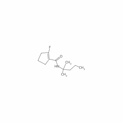 CCCC(C)(C)NC(=O)C1=C(F)CCC1